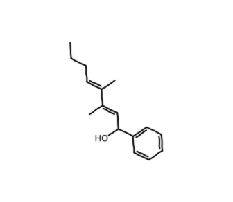 CCC/C=C(C)/C(C)=C/C(O)c1ccccc1